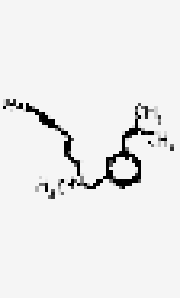 CC(C)=Cc1cccc(CN(C)CC=CC#CC(C)(C)C)c1